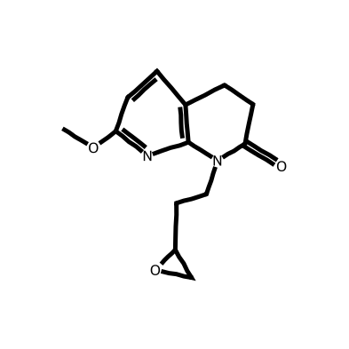 COc1ccc2c(n1)N(CCC1CO1)C(=O)CC2